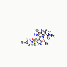 CCOc1ncc(S(=O)(=O)N2CCN(CC)CC2)cc1-c1nc2c3n(nc2c(=O)[nH]1)CCN(CC)C3=O